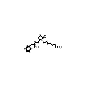 O=C(O)CCCCCCN1C(=O)CCC1CCC(O)Cc1ccccc1